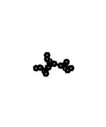 c1ccc2cc(-n3c4ccccc4c4cc5c6cc(-c7ccc8c(c7)c7ccccc7n8-c7cccc8ccccc78)ccc6n(-c6ccc7ccccc7c6)c5cc43)ccc2c1